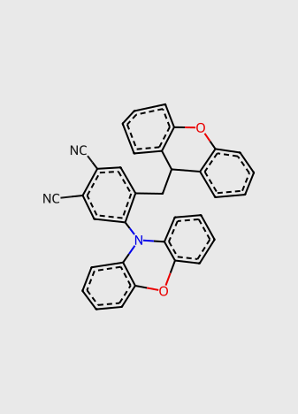 N#Cc1cc(CC2c3ccccc3Oc3ccccc32)c(N2c3ccccc3Oc3ccccc32)cc1C#N